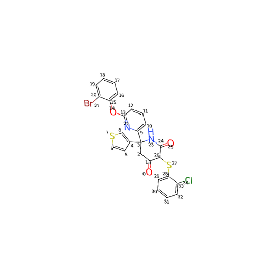 O=C1CC(c2ccsc2)(c2cccc(Oc3ccccc3Br)n2)NC(=O)C1Sc1ccccc1Cl